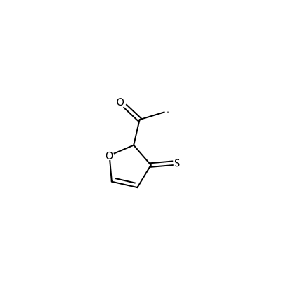 [CH2]C(=O)C1OC=CC1=S